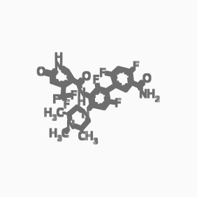 C[C@@H]1CN(c2cc(F)c(-c3cc(C(N)=O)c(F)cc3F)c(F)c2NC(=O)c2c[nH]c(=O)cc2C(F)(F)F)C[C@H](C)N1C